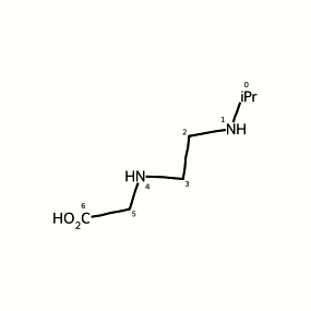 CC(C)NCCNCC(=O)O